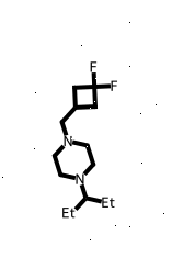 CCC(CC)N1CCN(CC2CC(F)(F)C2)CC1